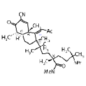 CCCC(C)(C)CC[C@@](C)(CCC(C)(C)[C@]1(C)CC[C@H]2[C@H](C)C(=O)C(C#N)=C[C@]2(C)/C1=C/C(C)=O)C(=O)NC